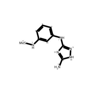 CSNc1cccc(Nc2n[nH]c(N)n2)c1